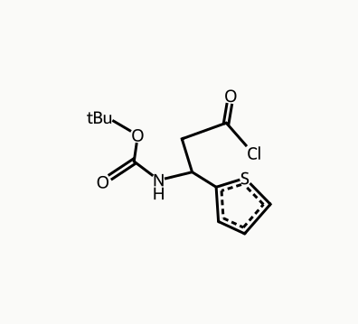 CC(C)(C)OC(=O)NC(CC(=O)Cl)c1cccs1